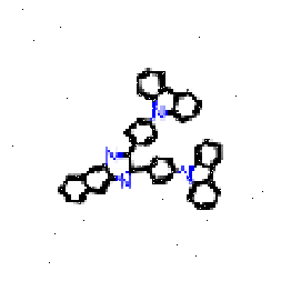 c1ccc2cc3nc(-c4ccc(-n5c6ccccc6c6ccccc65)cc4)c(-c4ccc(-n5c6ccccc6c6ccccc65)cc4)nc3cc2c1